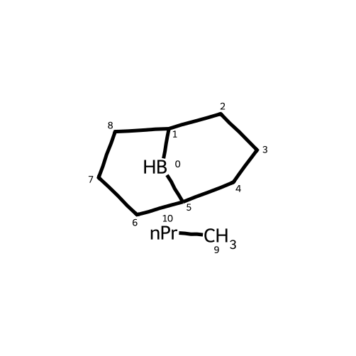 B1C2CCCC1CCC2.CCCC